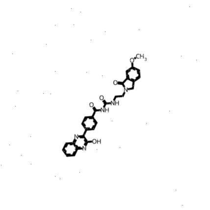 COc1ccc2c(c1)C(=O)N(CCNC(=O)NC(=O)c1ccc(-c3nc4ccccc4nc3O)cc1)C2